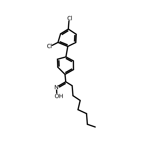 CCCCCCC/C(=N\O)c1ccc(-c2ccc(Cl)cc2Cl)cc1